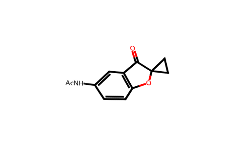 CC(=O)Nc1ccc2c(c1)C(=O)C1(CC1)O2